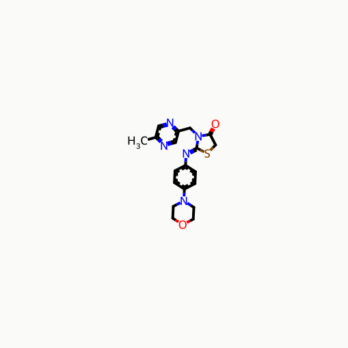 Cc1cnc(CN2C(=O)CSC2=Nc2ccc(N3CCOCC3)cc2)cn1